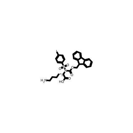 NCCCC[C@@H](C(=O)O)N(C(=O)OCC1c2ccccc2-c2ccccc21)S(=O)(=O)c1ccc(I)cc1